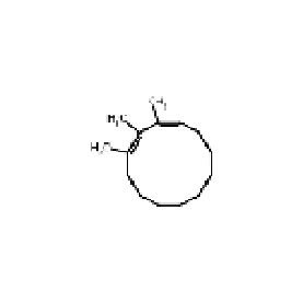 CC1=CCCCCCCCCC(C)=C1C